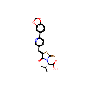 CC(C)[C@@H](C(=O)O)N1C(=O)/C(=C/c2ccc(-c3ccc4c(c3)OCO4)nc2)SC1=S